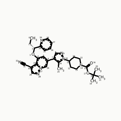 CC[C@@H](Oc1cc(-c2cnn(C3CCN(C(=O)OC(C)(C)C)CC3)c2C)cn2ncc(C#N)c12)c1ccccn1